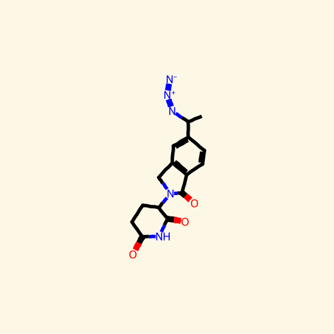 CC(N=[N+]=[N-])c1ccc2c(c1)CN(C1CCC(=O)NC1=O)C2=O